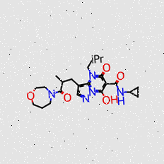 CC(C)Cn1c(=O)c(C(=O)NC2CC2)c(O)n2ncc(CC(C)C(=O)N3CCCOCC3)c12